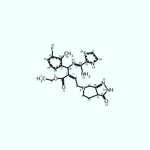 CCOC(=O)/C(=C\CN1CCC2C(=O)NN=C2C1)C(/N=C(\N)c1nccs1)c1cccc(F)c1C